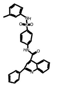 Cc1cccc(NS(=O)(=O)c2ccc(NC(=O)c3cc(-c4ccccc4)nc4ccccc34)cc2)c1